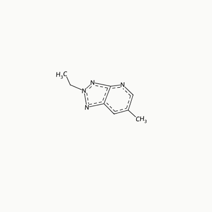 CCn1nc2cc(C)cnc2n1